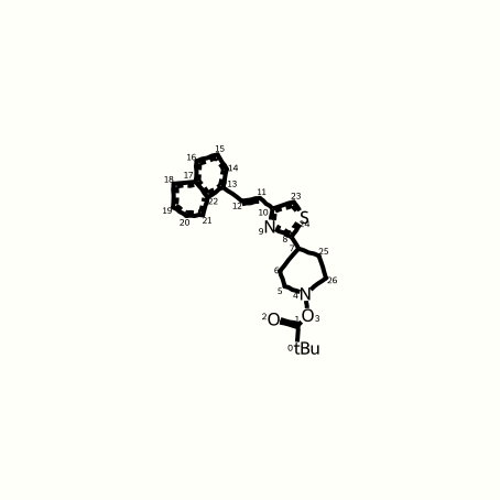 CC(C)(C)C(=O)ON1CCC(c2nc(/C=C/c3cccc4ccccc34)cs2)CC1